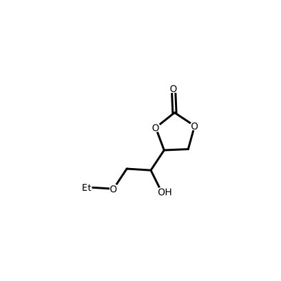 CCOCC(O)C1COC(=O)O1